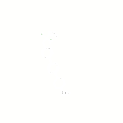 CCC[C@H]1CC[C@H](c2ccc(-c3ccc(CC(C)(F)F)cc3)cc2)CC1